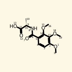 COc1ccc(C(=O)N[C@@H](C)C(=O)O)c(OC)c1OC